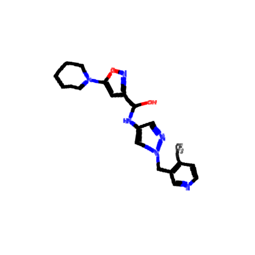 OC(Nc1cnn(Cc2cnccc2C(F)(F)F)c1)c1cc(N2CCCCC2)on1